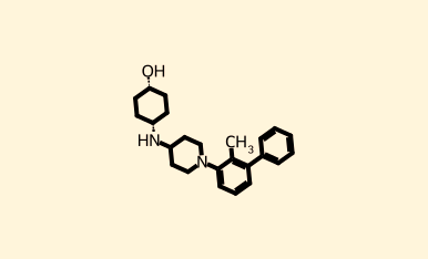 Cc1c(-c2ccccc2)cccc1N1CCC(N[C@H]2CC[C@@H](O)CC2)CC1